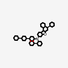 c1ccc(-c2ccc(-c3ccc(N(c4ccc5c(c4)oc4cc(-c6ccccc6)c6ccccc6c45)c4ccccc4-c4ccccc4)cc3)cc2)cc1